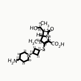 C[C@@H](O)[C@H]1C(=O)N2C(C(=O)O)=C(S[C@H]3C[C@H](N4CCC(N)CC4)C3)[C@H](C)[C@H]12